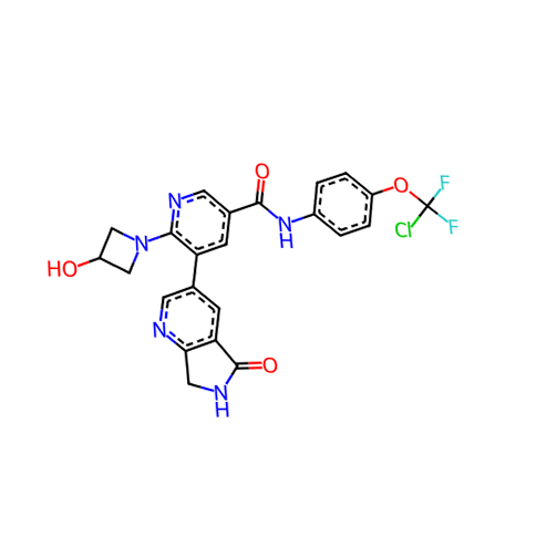 O=C(Nc1ccc(OC(F)(F)Cl)cc1)c1cnc(N2CC(O)C2)c(-c2cnc3c(c2)C(=O)NC3)c1